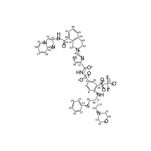 O=C(NS(=O)(=O)c1ccc(N[C@H](CCN2CCOCC2)CSc2ccccc2)c(S(=O)(=O)C(F)(F)Cl)c1)c1csc(N2CCc3cccc(C(=O)Nc4cn5ccccc5n4)c3C2)n1